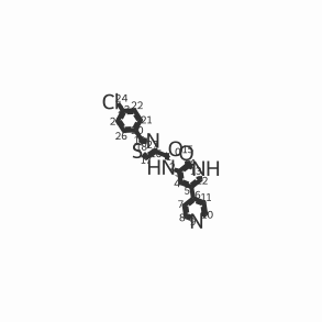 O=C(Nc1cc(-c2ccncc2)c[nH]c1=O)c1csc(-c2ccc(Cl)cc2)n1